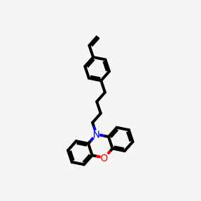 C=Cc1ccc(CCCCN2c3ccccc3Oc3ccccc32)cc1